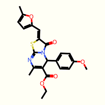 CCOC(=O)C1=C(C)N=c2s/c(=C\c3ccc(C)o3)c(=O)n2C1c1ccc(OC)cc1